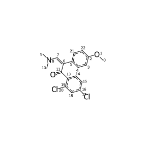 COc1ccc(C(=CN(C)C)C(=O)c2ccc(Cl)cc2Cl)cc1